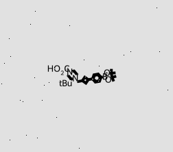 CC(C)(C)C1CN(C(=O)O)CCN1CC1CC(c2ccc(B3OC(C)(C)C(C)(C)O3)cc2)C1